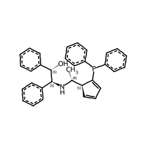 C[C@@H](N[C@@H](c1ccccc1)[C@@H](O)c1ccccc1)[C@@H]1C=CC=C1P(c1ccccc1)c1ccccc1